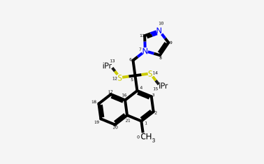 Cc1ccc(C(Cn2ccnc2)(SC(C)C)SC(C)C)c2ccccc12